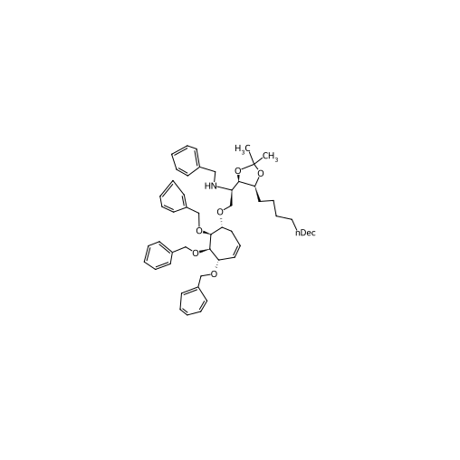 CCCCCCCCCCCCCC[C@@H]1OC(C)(C)O[C@@H]1[C@@H](CO[C@@H]1CC=C[C@H](OCc2ccccc2)[C@@H](OCc2ccccc2)[C@H]1OCc1ccccc1)NCc1ccccc1